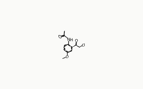 COc1ccc(NC(C)=O)c(C(=O)CCl)c1